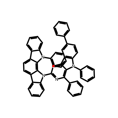 c1ccc(-c2ccc3c(c2)c2nc(-n4c5ccccc5c5ccc6c7ccccc7n(-c7ccccc7)c6c54)nc(-c4ccccc4)c2n3-c2ccccc2)cc1